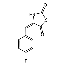 O=C1NC(=Cc2ccc(F)cc2)C(=O)S1